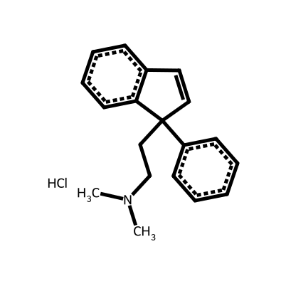 CN(C)CCC1(c2ccccc2)C=Cc2ccccc21.Cl